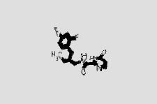 CCC(CNC(=O)c1nccc(=O)[nH]1)Cc1ccc(F)cc1F